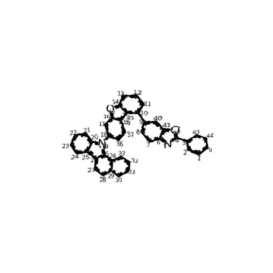 c1ccc(-c2nc3ccc(-c4cccc5oc6cc(-n7c8ccccc8c8ccc9ccccc9c87)ccc6c45)cc3o2)cc1